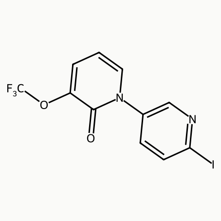 O=c1c(OC(F)(F)F)cccn1-c1ccc(I)nc1